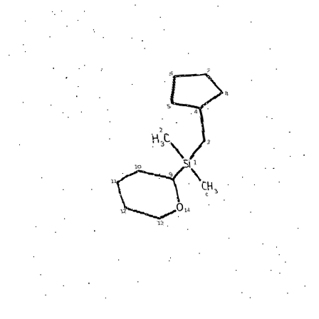 C[Si](C)(CC1CCCC1)C1CCCCO1